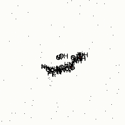 Cc1cc(NC(=O)c2ncc(-c3ccc(OCC#N)c(F)c3F)n2C)ccc1C(=O)NCCNC(=O)[C@H]1C[C@@](C)(O)CN1.O=CO